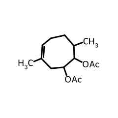 CC(=O)OC1CC(C)=CCCC(C)C1OC(C)=O